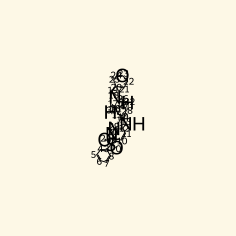 O=S(=O)(c1ccccc1)c1ccc(N[C@H]2C[C@@H]3CN(CC4CCOCC4)C[C@@H]3C2)nn1